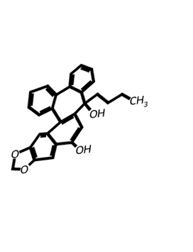 CCCCC1(O)c2ccccc2-c2ccccc2-c2c1cc(O)c1cc3c(cc21)OCO3